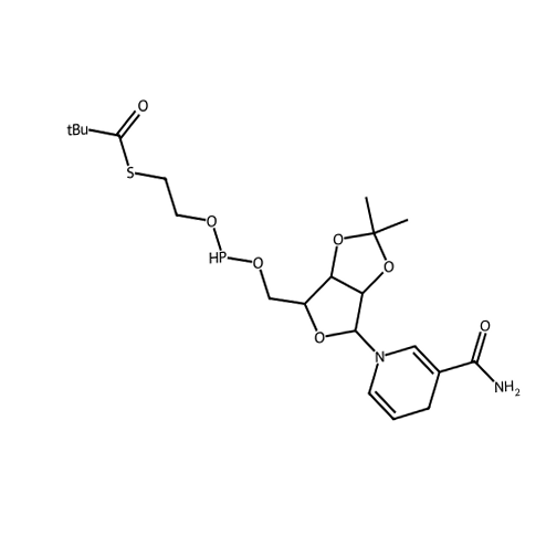 CC1(C)OC2C(COPOCCSC(=O)C(C)(C)C)OC(N3C=CCC(C(N)=O)=C3)C2O1